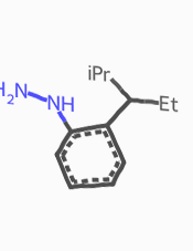 CCC(c1ccccc1NN)C(C)C